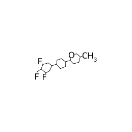 CC1CCC(C2CCC(C3CC(F)C(CF)C(F)C3)CC2)OC1